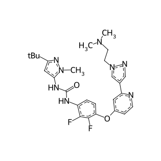 CN(C)CCn1cc(-c2cc(Oc3ccc(NC(=O)Nc4cc(C(C)(C)C)nn4C)c(F)c3F)ccn2)cn1